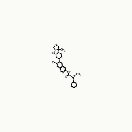 C[C@@H]1[C@H](C(=O)Nc2cc3cc(C4CCN([C@@]5(C)COC[C@H]5O)CC4)c(Cl)cc3cn2)[C@@H]1c1ccccn1